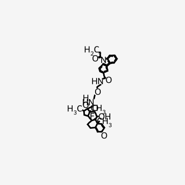 C=CC(=O)n1c2ccccc2c2cc(C(=O)NCCOCCNC(=O)C3(O)C(C)CC4C5CCC6=CC(=O)C=CC6(C)C5(F)C(O)CC43C)ccc21